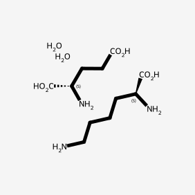 NCCCC[C@H](N)C(=O)O.N[C@@H](CCC(=O)O)C(=O)O.O.O